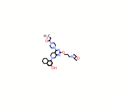 C=CC(=O)N1CCN(c2nc(OCCCN3CC4OCC43)nc3c2CCN(c2cc(O)cc4c2CCCC4)C3)CC1